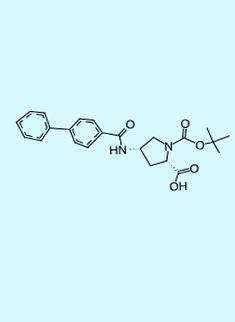 CC(C)(C)OC(=O)N1C[C@@H](NC(=O)c2ccc(-c3ccccc3)cc2)C[C@H]1C(=O)O